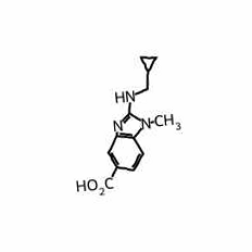 Cn1c(NCC2CC2)nc2cc(C(=O)O)ccc21